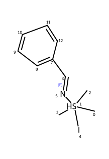 C[SH](C)(C)(I)/N=C/c1ccccc1